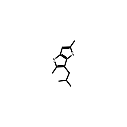 Cc1cc2sc(C)c(CC(C)C)c2s1